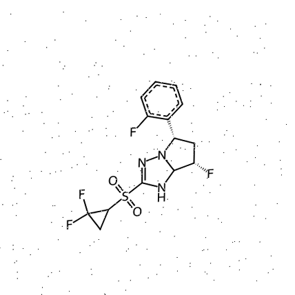 O=S(=O)(C1=NN2C(N1)[C@@H](F)C[C@H]2c1ccccc1F)C1CC1(F)F